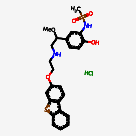 COC(CNCCOc1ccc2c(c1)sc1ccccc12)c1ccc(O)c(NS(C)(=O)=O)c1.Cl